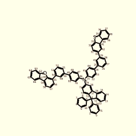 c1ccc(C2(c3ccccc3)c3ccccc3-c3cc(N(c4ccc(-c5cccc(-c6ccc7sc8ccccc8c7c6)c5)cc4)c4ccc(-c5cccc(-c6cccc7c6oc6ccccc67)c5)cc4)ccc32)cc1